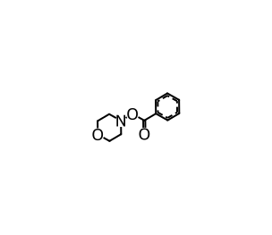 O=C(ON1CCOCC1)c1ccccc1